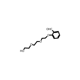 O=Cc1ccccc1OCCOCCOCCO